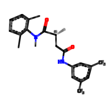 Cc1cccc(C)c1N(C)C(=O)[C@H](C)CC(=O)Nc1cc(C(F)(F)F)cc(C(F)(F)F)c1